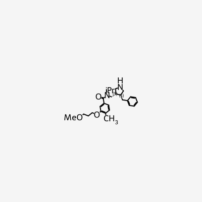 COCCCOc1cc(C(=O)N(C[C@@H]2CNC[C@H]2Cc2ccccc2)C(C)C)ccc1C